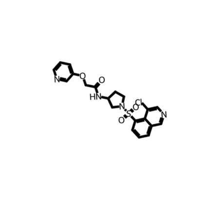 O=C(COc1cccnc1)NC1CCN(S(=O)(=O)c2cccc3cncc(Cl)c23)C1